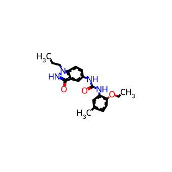 CCCn1[nH]c(=O)c2cc(NC(=O)Nc3cc(C)ccc3OCC)ccc21